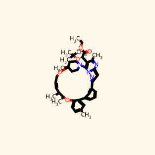 CCOC(=O)[C@@H](OC(C)(C)C)c1c(C)nc2cc3nn2c1N1CCC(C)(CC1)OCC=CC(C)C(C)Oc1ccc(C)cc1-c1cccc-3c1